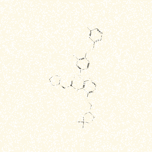 CC1(C)OC[C@H](COc2ncnc(Nc3ccc(OCc4cccc(F)c4)c(Cl)c3)c2NC(=O)C[C@H]2CCSS2)O1